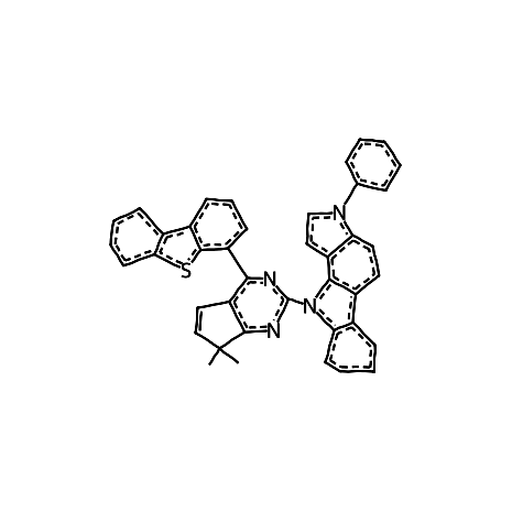 CC1(C)C=Cc2c(-c3cccc4c3sc3ccccc34)nc(-n3c4ccccc4c4ccc5c(ccn5-c5ccccc5)c43)nc21